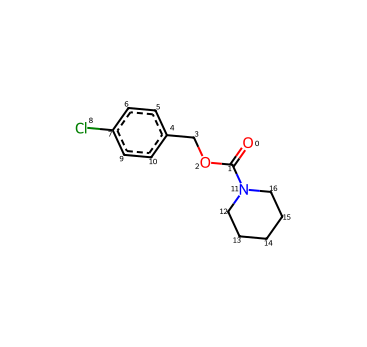 O=C(OCc1ccc(Cl)cc1)N1CCCCC1